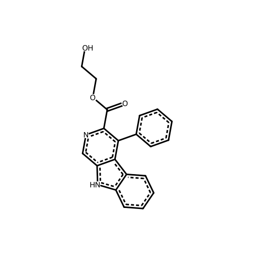 O=C(OCCO)c1ncc2[nH]c3ccccc3c2c1-c1ccccc1